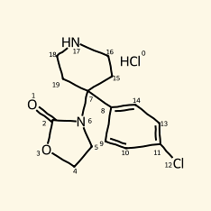 Cl.O=C1OCCN1C1(c2ccc(Cl)cc2)CCNCC1